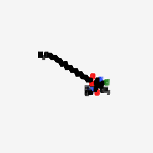 CCCCCCCCCCCCCCCCCC(=O)Oc1cnc(Cl)c(C)c1C(=O)NCC